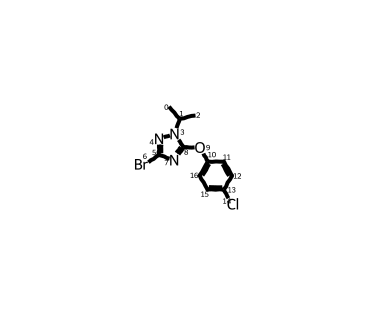 CC(C)n1nc(Br)nc1Oc1ccc(Cl)cc1